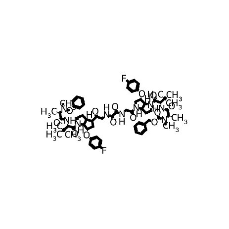 C[C@@H](C(=O)N[C@H](C(=O)N1CC[C@H]2C(C(=O)CNC(=O)C(=O)NCC(=O)N3C[C@H](Oc4ccc(F)cc4)[C@@H]4[C@H]3CCN4C(=O)[C@@H](NC(=O)[C@H](C)N(C)C(=O)OCc3ccccc3)C(C)(C)C)C[C@H](Oc3ccc(F)cc3)[C@H]21)C(C)(C)C)N(C)Oc1ccccc1